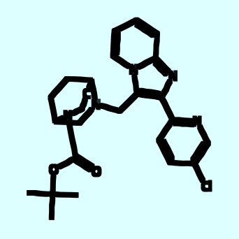 CC(C)(C)OC(=O)N1CCC2CCC1CN2Cc1c(-c2ccc(Cl)cn2)nc2ccccn12